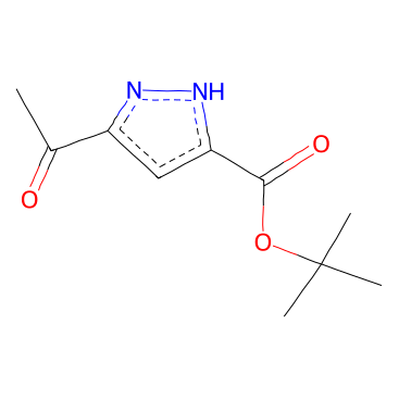 CC(=O)c1cc(C(=O)OC(C)(C)C)[nH]n1